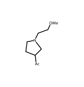 COCCN1CCC(C(C)=O)C1